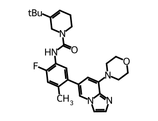 Cc1cc(F)c(NC(=O)N2CCC=C(C(C)(C)C)C2)cc1-c1cc(N2CCOCC2)c2nccn2c1